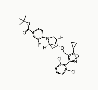 CC(C)(C)OC(=O)c1ccc(N2C[C@@H]3C[C@H]2C[C@H]3OCc2c(-c3c(Cl)cccc3Cl)noc2C2CC2)c(F)c1